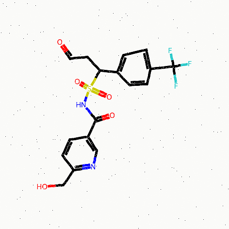 O=CCC(c1ccc(C(F)(F)F)cc1)S(=O)(=O)NC(=O)c1ccc(CO)nc1